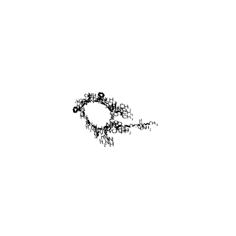 CCCCC[C@H](NC(=O)COCCOCCNC(=O)[C@@H](NC(=O)[C@@H]1CSSC[C@H](NC(=O)[C@@H](NC(C)=O)[C@@H](C)CC)C(=O)N[C@@H](C(C)C)C(=O)N[C@@H](Cc2cn(C)c3ccccc23)C(=O)NC(CCC(N)=O)C(=O)N[C@@H](CC(=O)O)C(=O)N[C@@H](Cc2c[nH]c3ccccc23)C(=O)NCC(=O)N[C@@H](C)C(=O)N[C@@H](Cc2cnc[nH]2)C(=O)N[C@@H](CCCNC(=N)N)C(=O)N1)[C@@H](C)O)C(N)=O